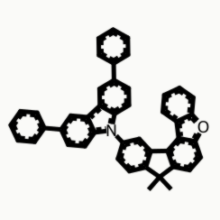 CC1(C)c2ccc(-n3c4ccc(-c5ccccc5)cc4c4cc(-c5ccccc5)ccc43)cc2-c2c1ccc1oc3ccccc3c21